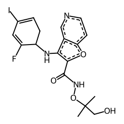 CC(C)(CO)ONC(=O)c1oc2ccncc2c1NC1CC=C(I)C=C1F